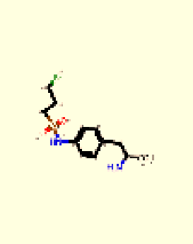 N[C@@H](Cc1ccc(NS(=O)(=O)CCCBr)cc1)C(=O)O